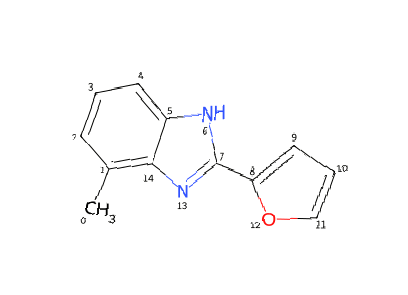 Cc1cccc2[nH]c(-c3ccco3)nc12